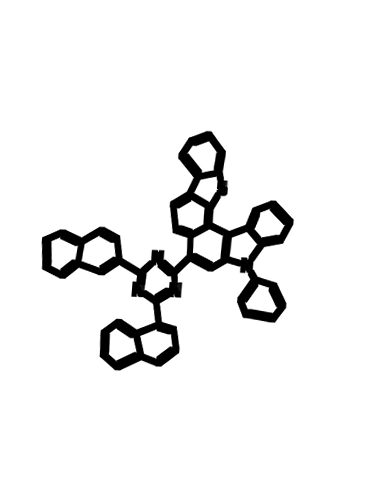 c1ccc(-n2c3ccccc3c3c4c(ccc5c6ccccc6sc54)c(-c4nc(-c5ccc6ccccc6c5)nc(-c5cccc6ccccc56)n4)cc32)cc1